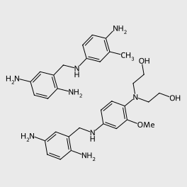 COc1cc(NCc2cc(N)ccc2N)ccc1N(CCO)CCO.Cc1cc(NCc2cc(N)ccc2N)ccc1N